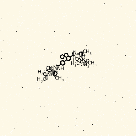 COC(=O)N[C@H](C(=O)N1C[C@@H](C)C[C@H]1c1ncc(-c2ccc(-c3ccc(-c4cnc([C@@H]5C[C@H](C)CN5C(=O)[C@@H](NC(=O)OC)C(C)C)[nH]4)c4c3C3(CCCC3)CC4)cc2)[nH]1)C(C)C